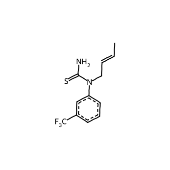 C/C=C/CN(C(N)=S)c1cccc(C(F)(F)F)c1